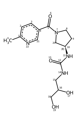 Cc1ccc(C(=O)N2CC[C@@H](NC(=O)NCC(O)CO)C2)cn1